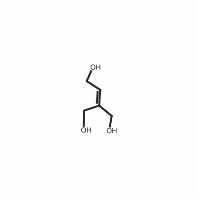 OCC=C(CO)CO